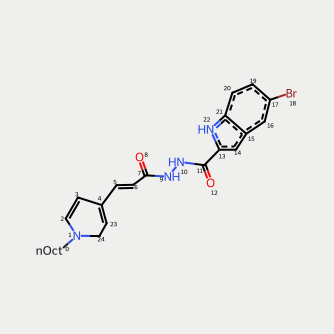 CCCCCCCCN1C=CC(/C=C/C(=O)NNC(=O)c2cc3cc(Br)ccc3[nH]2)=CC1